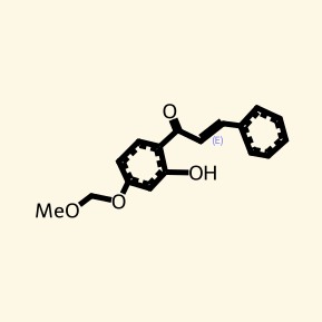 COCOc1ccc(C(=O)/C=C/c2ccccc2)c(O)c1